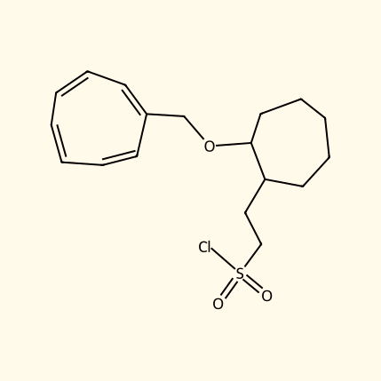 O=S(=O)(Cl)CCC1CCCCCC1OCC1=C/C=C\C=C/C=C\1